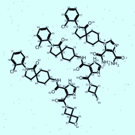 NC(=O)c1ncn(C2CCC3(CC2)CCN(c2ccccc2Cl)C3=O)c1C(N)=O.O=C(NC1CCC2(CC1)CCN(c1ccccc1Cl)C2=O)c1[nH]cnc1C(=O)N1CC(F)C1.O=C(NC1CCC2(CC1)CCN(c1ccccc1Cl)C2=O)c1[nH]cnc1C(=O)N1CC2(COC2)C1